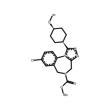 CC(C)O[C@H]1CC[C@@H](c2nnc3n2-c2ccc(Cl)cc2CN(C(=O)OC(C)(C)C)C3)CC1